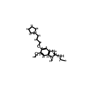 CCNc1nc2cc(OCCCN3CCCC3)c(OC)cc2n1C